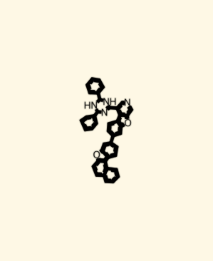 c1ccc(C2N=C(c3cncc4oc5cc(-c6ccc7c(c6)oc6ccc8ccccc8c67)ccc5c34)NC(c3ccccc3)N2)cc1